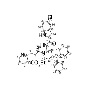 CCOC(=O)c1cccnc1CCC(=S)N1CCC(C(c2ccccc2)c2ccccc2)CC1NC(=O)c1cc2cc(Cl)ccc2[nH]1